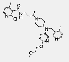 COCCOc1ccc(N(Cc2cnccc2C)C2CCN([C@H](C)CCNC(=O)c3c(C)ccnc3Cl)CC2)cn1